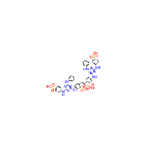 O=S(=O)(O)c1ccc(Nc2nc(Nc3ccccc3)nc(Nc3ccc(C=Cc4ccc(Nc5nc(Nc6ccccc6)nc(Nc6ccc(S(=O)(=O)O)cc6)n5)cc4S(=O)(=O)O)c(S(=O)(=O)O)c3)n2)cc1